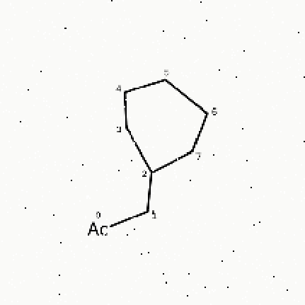 CC(=O)[CH]C1CCCCC1